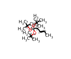 C/C=C/C[Si](OC(C)(C)C)(OC(C)(C)C)OC(C)(C)C